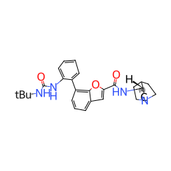 CC(C)(C)NC(=O)Nc1ccccc1-c1cccc2cc(C(=O)N[C@H]3CN4CCC3CC4)oc12